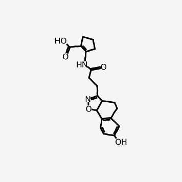 O=C(CCC1=NOC2c3ccc(O)cc3CCC12)NC1=C(C(=O)O)CCC1